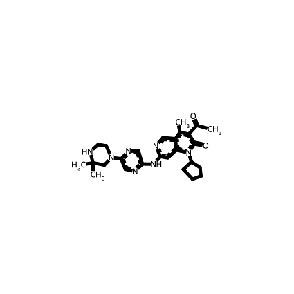 CC(=O)c1c(C)c2cnc(Nc3cnc(N4CCNC(C)(C)C4)cn3)cc2n(C2CCCC2)c1=O